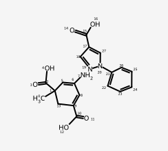 CC1(C(=O)O)C=C(N)C=C(C(=O)O)C1.O=C(O)c1cnn(-c2ccccc2)c1